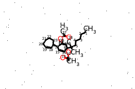 CCCCCCC(C)(C)C1(OC(C)=O)C=CC(C2C=CCCCC2)C(OC(C)=O)=C1